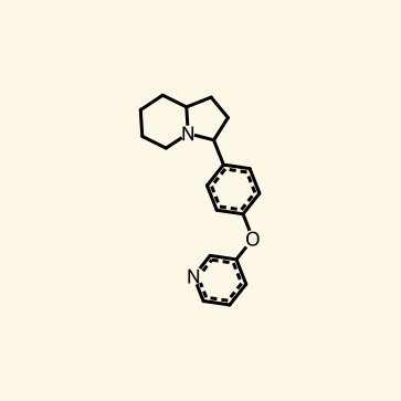 c1cncc(Oc2ccc(C3CCC4CCCCN43)cc2)c1